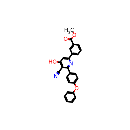 COC(=O)c1cccc(-c2cc(O)c(C#N)c(-c3ccc(Oc4ccccc4)cc3)n2)c1